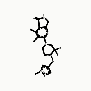 Cc1c(N2CC[C@H](Oc3cnn(C)c3)C(F)(F)C2)nc2c(c1C)C(=O)NC2